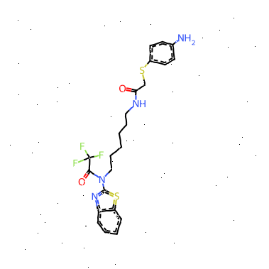 Nc1ccc(SCC(=O)NCCCCCCN(C(=O)C(F)(F)F)c2nc3ccccc3s2)cc1